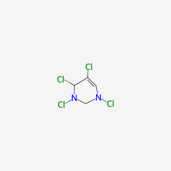 ClC1=CN(Cl)CN(Cl)C1Cl